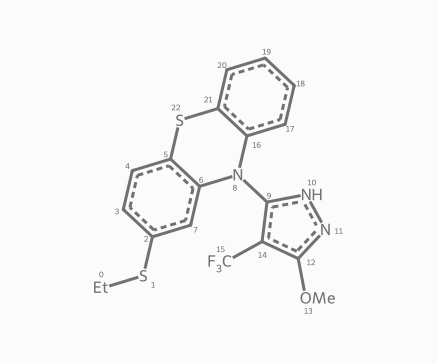 CCSc1ccc2c(c1)N(c1[nH]nc(OC)c1C(F)(F)F)c1ccccc1S2